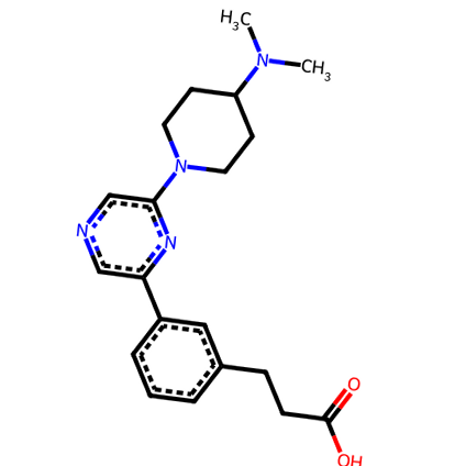 CN(C)C1CCN(c2cncc(-c3cccc(CCC(=O)O)c3)n2)CC1